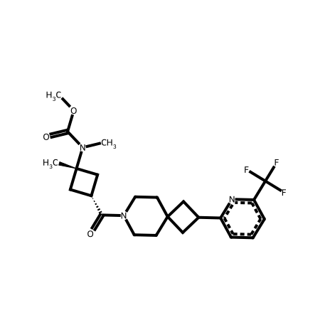 COC(=O)N(C)[C@]1(C)C[C@H](C(=O)N2CCC3(CC2)CC(c2cccc(C(F)(F)F)n2)C3)C1